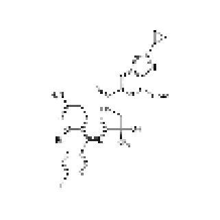 CCOc1c(CC(N)=O)cc([C@@](O)(CNC(=O)c2cc(OC)c3nn(C4CC4)cc3c2)C(F)(F)F)nc1-c1ccc(F)cc1